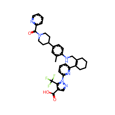 Cc1cc(C2CCN(C(=O)c3ccccn3)CC2)ccc1NCC1=C(c2cccc(-n3ncc(C(=O)O)c3C(F)(F)F)n2)CCCC1